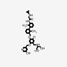 Cc1c(COc2cc(OCc3cncc(C#N)c3)c(CNC(CO)CO)cc2Cl)cccc1-c1cccc(NC(=O)CNC2CC2)c1C